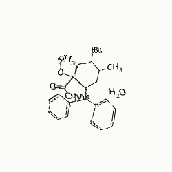 COC(=O)C1(O[SiH3])CC(C(C)(C)C)C(C)CC1C(c1ccccc1)c1ccccc1.O